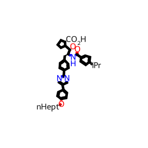 CCCCCCCOc1ccc(-c2cnc(-c3ccc(C[C@H](NC(=O)c4ccc(C(C)C)cc4)C(=O)C4CCC[C@H]4C(=O)O)cc3)nc2)cc1